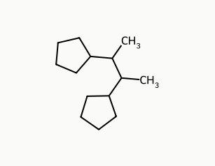 CC(C1CCCC1)C(C)C1CCCC1